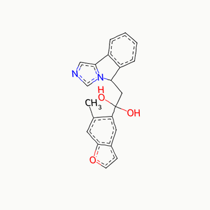 Cc1cc2occc2cc1C(O)(O)CC1c2ccccc2-c2cncn21